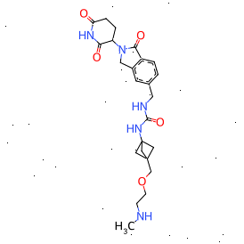 CNCCOCC12CC(NC(=O)NCc3ccc4c(c3)CN(C3CCC(=O)NC3=O)C4=O)(C1)C2